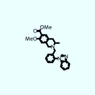 COC(=O)c1cc2c(cc1OC)CN(Cc1ccccc1-n1cnc3ccccc31)C(C)C2